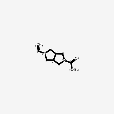 C=CN1CC2CN(C(=O)OCC(C)C)CC2C1